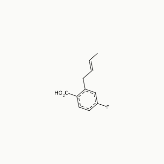 CC=CCc1cc(F)ccc1C(=O)O